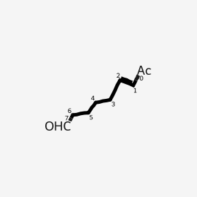 CC(=O)/C=C/CCCCC=O